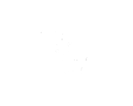 C=C(Oc1ccc(Cl)cc1)C(=O)c1ccccc1OC(F)F